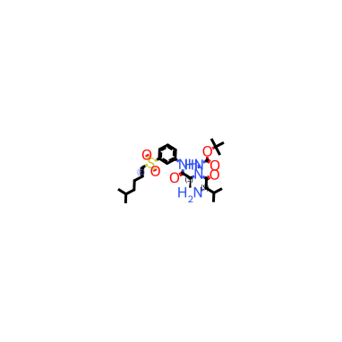 CC(C)CC/C=C/S(=O)(=O)c1cccc(NC(=O)[C@H](C)N(NC(=O)OC(C)(C)C)C(=O)[C@@H](N)C(C)C)c1